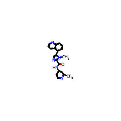 Cn1c(-c2cccc3ncccc23)cnc1C(=O)Nc1ccnc(C(F)(F)F)c1